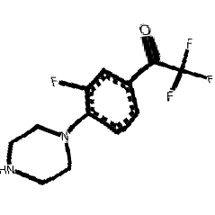 O=C(c1ccc(N2CCNCC2)c(F)c1)C(F)(F)F